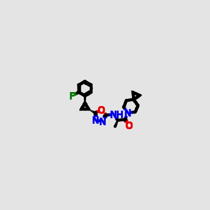 C[C@@H](Nc1nnc([C@@H]2C[C@H]2c2ccccc2F)o1)C(=O)N1CCC2(CC1)CC2